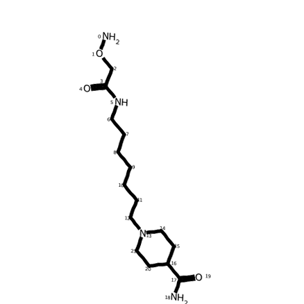 NOCC(=O)NCCCCCCCN1CCC(C(N)=O)CC1